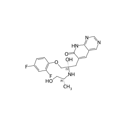 C[C@H](CO)N[C@@](O)(COc1ccc(F)cc1F)Cc1cc2cncnc2[nH]c1=O